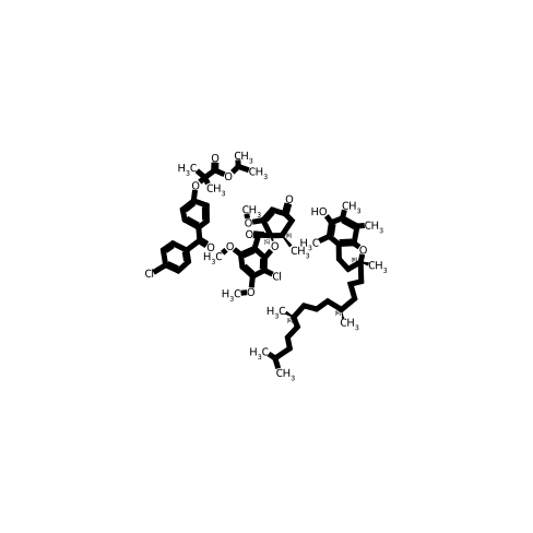 CC(C)OC(=O)C(C)(C)Oc1ccc(C(=O)c2ccc(Cl)cc2)cc1.COC1=CC(=O)C[C@@H](C)[C@]12Oc1c(Cl)c(OC)cc(OC)c1C2=O.Cc1c(C)c2c(c(C)c1O)CC[C@@](C)(CCC[C@H](C)CCC[C@H](C)CCCC(C)C)O2